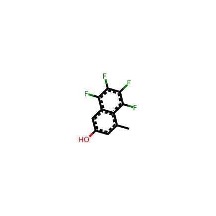 Cc1cc(O)cc2c(F)c(F)c(F)c(F)c12